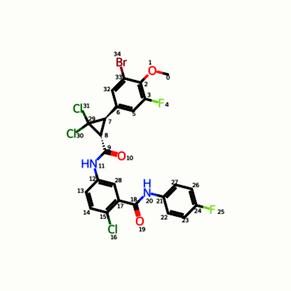 COc1c(F)cc([C@H]2[C@H](C(=O)Nc3ccc(Cl)c(C(=O)Nc4ccc(F)cc4)c3)C2(Cl)Cl)cc1Br